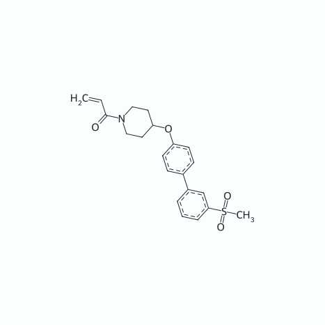 C=CC(=O)N1CCC(Oc2ccc(-c3cccc(S(C)(=O)=O)c3)cc2)CC1